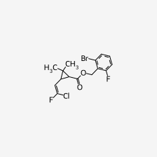 CC1(C)C(C=C(F)Cl)C1C(=O)OCc1c(F)cccc1Br